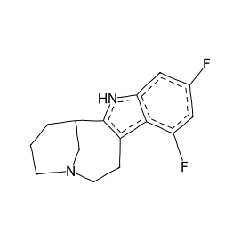 Fc1cc(F)c2c3c([nH]c2c1)C1CCCN(CC3)C1